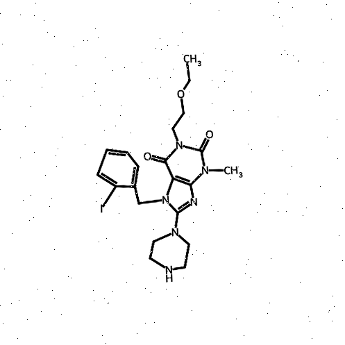 CCOCCn1c(=O)c2c(nc(N3CCNCC3)n2Cc2ccccc2I)n(C)c1=O